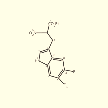 CCOC(=O)C(Cc1c[nH]c2cc(F)c(F)cc12)[N+](=O)[O-]